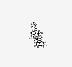 CCc1ccc(O[C@@H]2CCOC2)c(C2(C(=O)NS(=O)(=O)c3cccc4ncccc34)CC2)c1